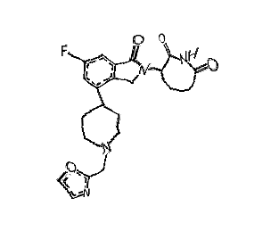 O=C1CCC(N2Cc3c(cc(F)cc3C3CCN(Cc4ncco4)CC3)C2=O)C(=O)N1